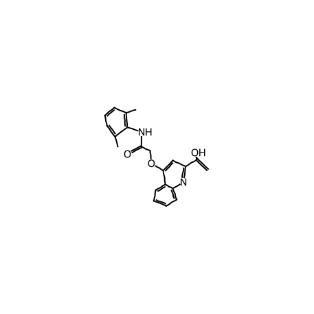 C=C(O)c1cc(OCC(=O)Nc2c(C)cccc2C)c2ccccc2n1